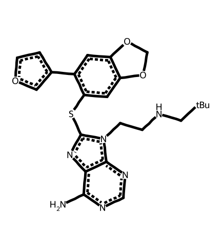 CC(C)(C)CNCCn1c(Sc2cc3c(cc2-c2ccoc2)OCO3)nc2c(N)ncnc21